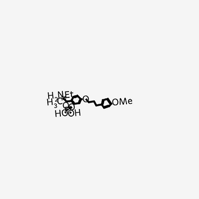 CC[C@@](C)(N)C(OP(=O)(O)O)c1ccc(OCCCc2ccc(OC)cc2)cc1